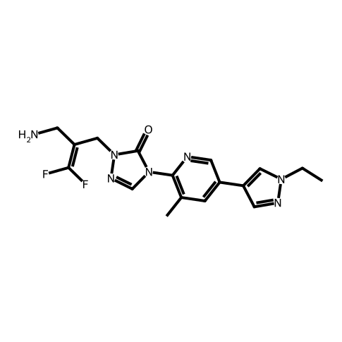 CCn1cc(-c2cnc(-n3cnn(CC(CN)=C(F)F)c3=O)c(C)c2)cn1